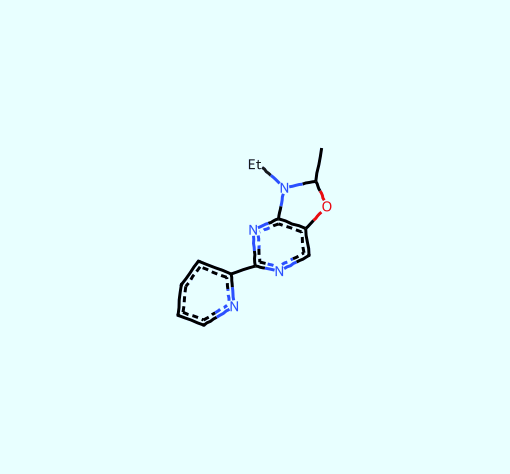 CCN1c2nc(-c3ccccn3)ncc2OC1C